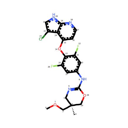 COC[C@@]1(C)CN=C(Nc2cc(F)c(Oc3ccnc4[nH]cc(Cl)c34)c(F)c2)OC1